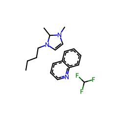 CCCCN1C=CN(C)C1C.FC(F)F.c1ccc2ncccc2c1